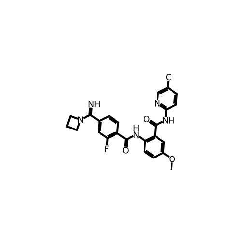 COc1ccc(NC(=O)c2ccc(C(=N)N3CCC3)cc2F)c(C(=O)Nc2ccc(Cl)cn2)c1